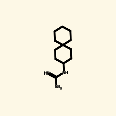 N=C(N)NC1CCC2(CCCCC2)CC1